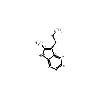 [CH2]CCc1c(C)[nH]c2ccccc12